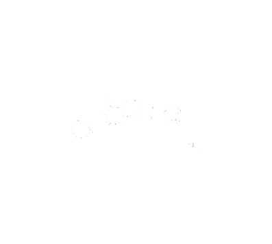 Cc1cccc(Cn2ncc3cc(S(=O)(=O)c4cnn(CCN)c4)ccc3c2=O)n1